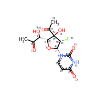 CC(=O)C(O)[C@H]1O[C@@H](n2ccc(=O)[nH]c2=O)[C@@H](F)[C@@]1(O)C(C)=O